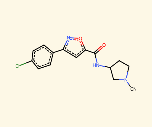 N#CN1CCC(NC(=O)c2cc(-c3ccc(Cl)cc3)no2)C1